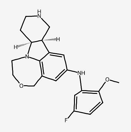 COc1ccc(F)cc1Nc1cc2c3c(c1)[C@@H]1CNCC[C@@H]1N3CCOC2